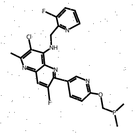 Cc1nc2cc(F)c(-c3ccc(OCP(C)C)nc3)nc2c(NCc2ncccc2F)c1Cl